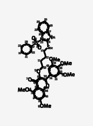 COc1cc(OC)c2c(=O)c(OCCCCSc3nc4ccccc4n3S(=O)(=O)c3ccccc3)c(-c3cc(OC)c(OC)c(OC)c3)oc2c1